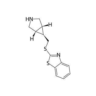 c1ccc2sc(SC[C@H]3[C@@H]4CNC[C@@H]43)nc2c1